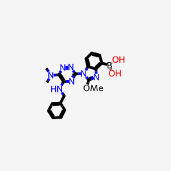 COc1nc2c(B(O)O)cccc2n1-c1nnc(N(C)C)c(NCc2ccccc2)n1